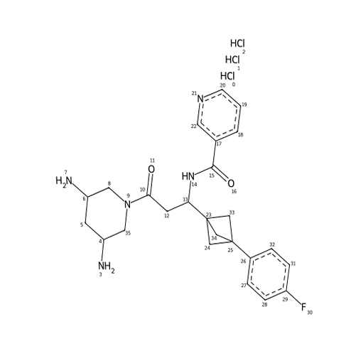 Cl.Cl.Cl.NC1CC(N)CN(C(=O)CC(NC(=O)c2cccnc2)C23CC(c4ccc(F)cc4)(C2)C3)C1